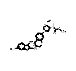 Cc1ccc2c(N)c(N[C@H]3COc4cc(N5C[C@H](CF)[C@H](NC(=O)OC(C)(C)C)C5)ccc4C3)sc2n1